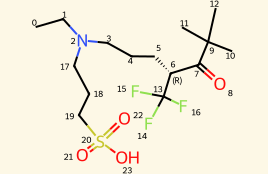 CCN(CCC[C@H](C(=O)C(C)(C)C)C(F)(F)F)CCCS(=O)(=O)O